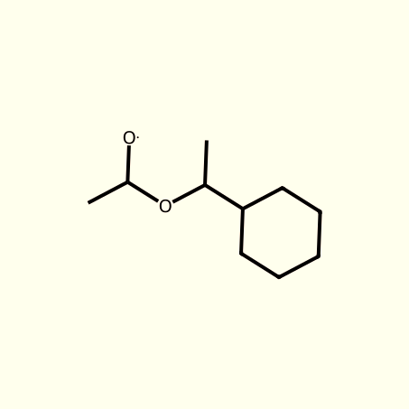 CC([O])OC(C)C1CCCCC1